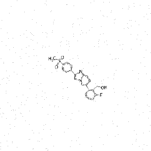 CS(=O)(=O)c1ccc(-c2cn3cc(-c4cccc(F)c4CO)ccc3n2)cc1